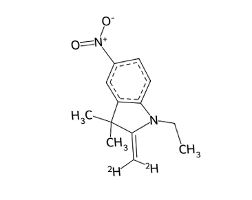 [2H]C([2H])=C1N(CC)c2ccc([N+](=O)[O-])cc2C1(C)C